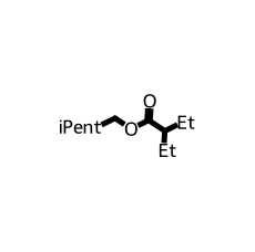 CCCC(C)COC(=O)C(CC)CC